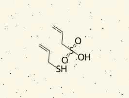 C=CCS.C=CCS(=O)(=O)O